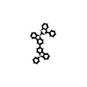 C1=CC2N=C(n3c4ccccc4c4cc(-c5ccc6c(c5)c5ccccc5n6-c5ccccc5)ccc43)N=C(c3ccccc3)C2C=C1